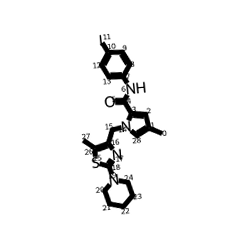 Cc1cc(C(=O)Nc2ccc(I)cc2)n(Cc2nc(N3CCCCC3)sc2C)c1